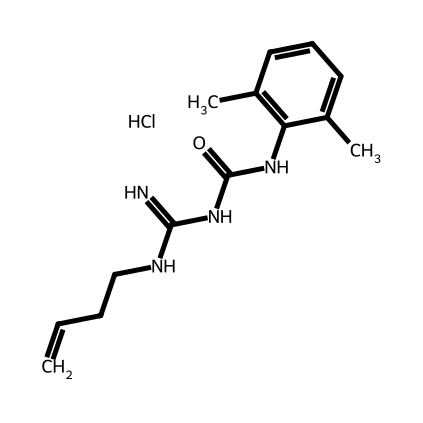 C=CCCNC(=N)NC(=O)Nc1c(C)cccc1C.Cl